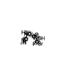 Cc1nc2ccc(-c3n[nH]c4ccc(-c5ccn([C@H](CO)c6cc(F)cc(Br)c6)c(=O)c5)cc34)cn2n1